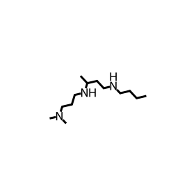 CCCCNCCC(C)NCCCN(C)C